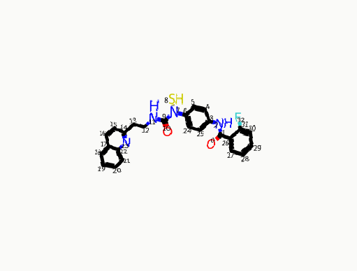 O=C(Nc1ccc(N(S)C(=O)NCCc2ccc3ccccc3n2)cc1)c1ccccc1F